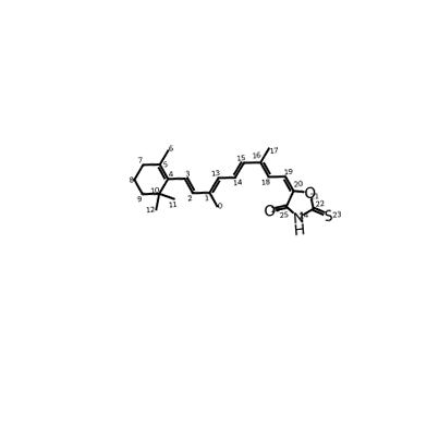 CC(C=CC1=C(C)CCCC1(C)C)=CC=CC(C)=CC=C1OC(=S)NC1=O